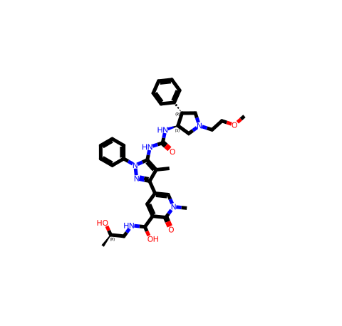 COCCN1C[C@@H](NC(=O)Nc2c(C)c(-c3cc(C(O)NC[C@@H](C)O)c(=O)n(C)c3)nn2-c2ccccc2)[C@H](c2ccccc2)C1